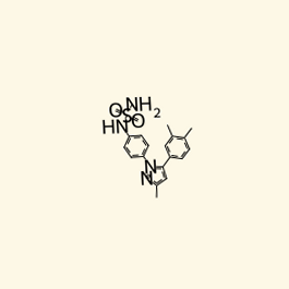 Cc1cc(-c2ccc(C)c(C)c2)n(-c2ccc(NS(N)(=O)=O)cc2)n1